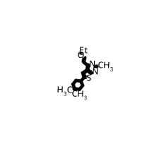 CCO/C=C/c1nc(C)nc2sc(C3CCC(C)(C)CC3)cc12